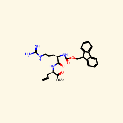 C=CC[C@@H](NC(=O)[C@H](CCCNC(=N)N)NC(=O)OCC1c2ccccc2-c2ccccc21)C(=O)OC